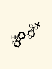 CC(C)(C)OC(=O)N1CCO[C@@H](c2ccc3[nH]c4ncccc4c3c2)C1